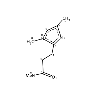 CNC(=O)CCc1nc(C)cn1C